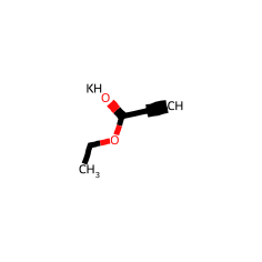 C#CC(=O)OCC.[KH]